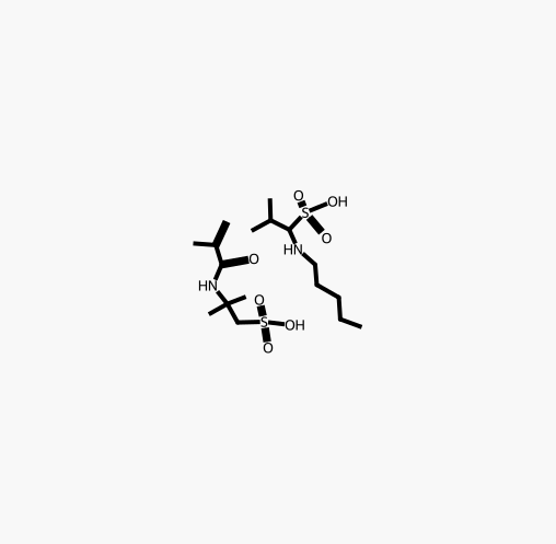 C=C(C)C(=O)NC(C)(C)CS(=O)(=O)O.CCCCCNC(C(C)C)S(=O)(=O)O